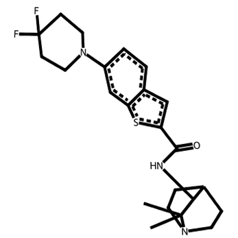 CC1(C)C(NC(=O)c2cc3ccc(N4CCC(F)(F)CC4)cc3s2)C2CCN1CC2